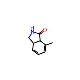 CC1=CC=CC2CNC(=O)C12